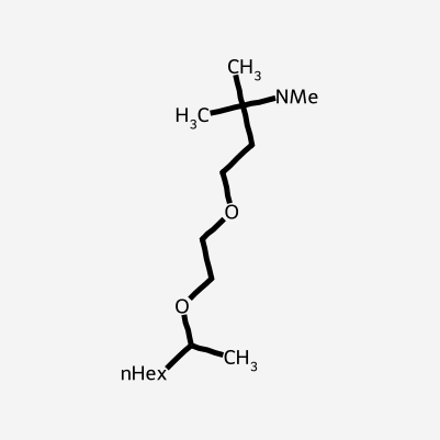 CCCCCCC(C)OCCOCCC(C)(C)NC